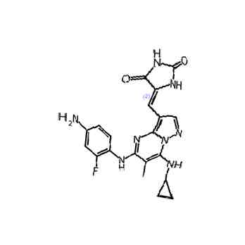 Cc1c(Nc2ccc(N)cc2F)nc2c(/C=C3\NC(=O)NC3=O)cnn2c1NC1CC1